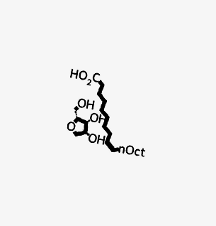 CCCCCCCC/C=C\CCCCCCCC(=O)O.OC[C@H]1OC[C@H](O)[C@H]1O